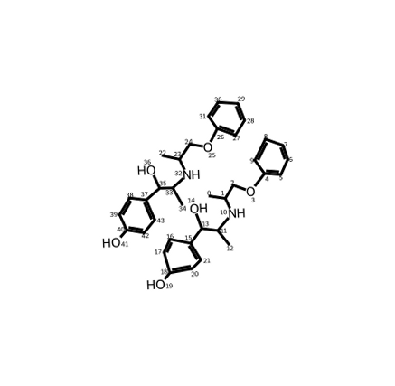 CC(COc1ccccc1)NC(C)C(O)c1ccc(O)cc1.CC(COc1ccccc1)NC(C)C(O)c1ccc(O)cc1